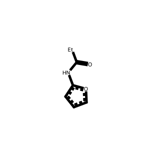 CCC(=O)Nc1ccco1